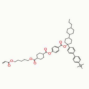 C=CC(=O)OCCCCCOC(=O)C1CCC(C(=O)Oc2ccc(C(=O)OC3(c4ccc(-c5ccc([Si](C)(C)C)cc5)cc4)CCC(C4CCC(CCC)CC4)CC3)cc2)CC1